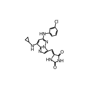 O=C1NC(=O)/C(=C/c2cnc3c(NC4CC4)cc(Nc4cccc(Cl)c4)nn23)N1